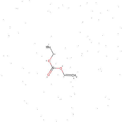 C=COC(=O)OCC(C)(C)C